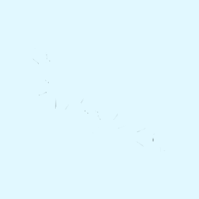 C/C(=N\NC(=O)c1ccc(C(=O)NCc2cscn2)s1)c1csc(-c2ccc(Br)cc2)c1O